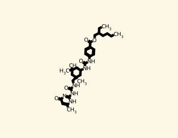 CCCCC(CC)COC(=O)c1ccc(NC(=O)NC2CC(C)(C)CC(C)(CNC(=O)Nc3nc(=O)cc(C)[nH]3)C2)cc1